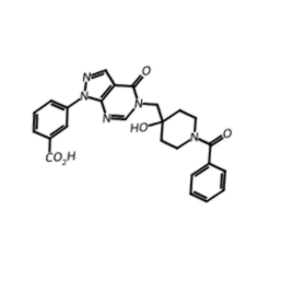 O=C(O)c1cccc(-n2ncc3c(=O)n(CC4(O)CCN(C(=O)c5ccccc5)CC4)cnc32)c1